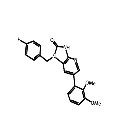 COc1cccc(-c2cnc3[nH]c(=O)n(Cc4ccc(F)cc4)c3c2)c1OC